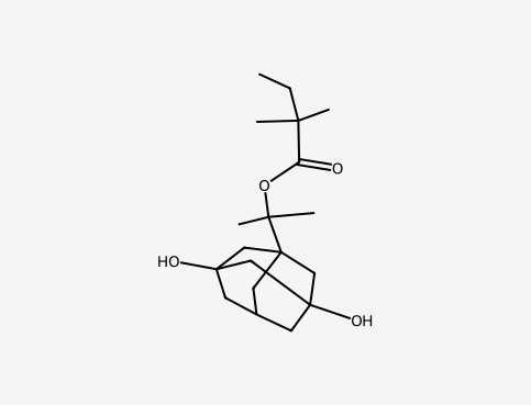 CCC(C)(C)C(=O)OC(C)(C)C12CC3CC(O)(CC(O)(C3)C1)C2